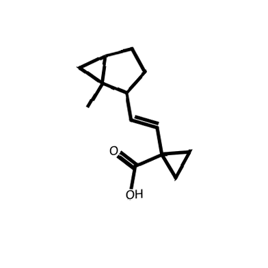 CC12CC1CCC2/C=C/C1(C(=O)O)CC1